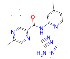 C#N.C#N.C=NN.Cc1ccnc(NC(=O)c2cnc(C)cn2)c1